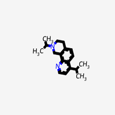 CC(C)c1ccnc2c3c(ccc12)CCN(C(C)C)C3